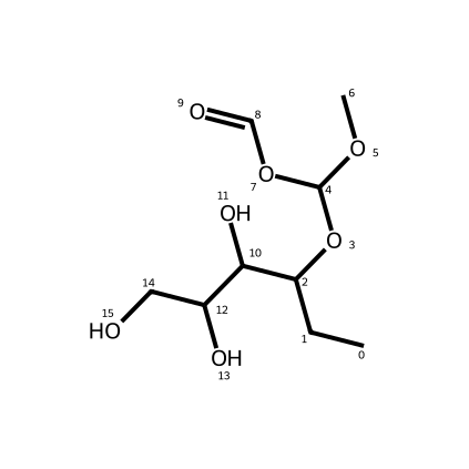 CCC(OC(OC)OC=O)C(O)C(O)CO